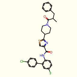 CC(Cc1ccccc1)C(=O)N1CCC(c2nc(C(=O)Nc3ccc(F)cc3-c3ccc(Cl)cc3)cs2)CC1